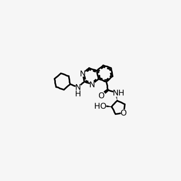 O=C(N[C@@H]1COC[C@H]1O)c1cccc2cnc(NC3CCCCC3)nc12